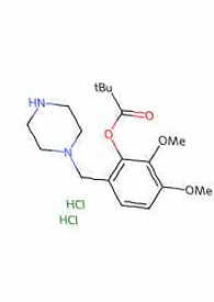 COc1ccc(CN2CCNCC2)c(OC(=O)C(C)(C)C)c1OC.Cl.Cl